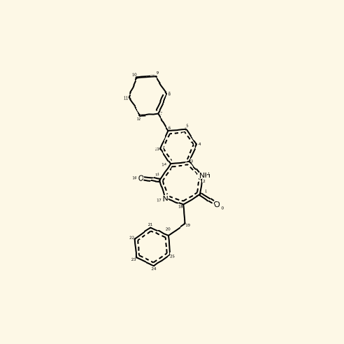 O=c1[nH]c2ccc(C3=CCCCC3)cc2c(=O)nc1Cc1ccccc1